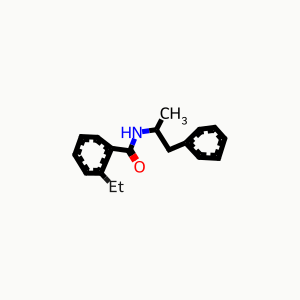 CCc1ccccc1C(=O)NC(C)Cc1ccccc1